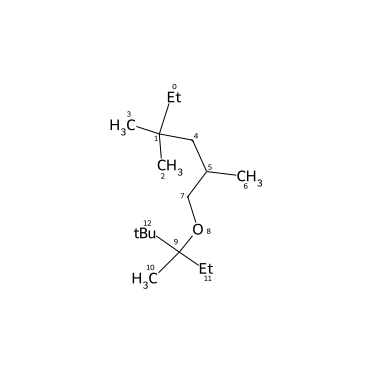 CCC(C)(C)CC(C)COC(C)(CC)C(C)(C)C